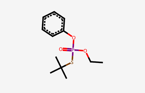 CCOP(=O)(Oc1ccccc1)SC(C)(C)C